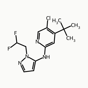 CC(C)(C)c1cc(Nc2ccnn2CC(F)F)ncc1Cl